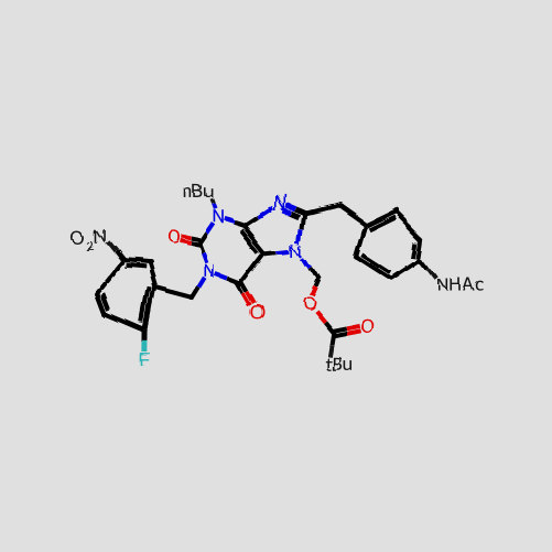 CCCCn1c(=O)n(Cc2cc([N+](=O)[O-])ccc2F)c(=O)c2c1nc(Cc1ccc(NC(C)=O)cc1)n2COC(=O)C(C)(C)C